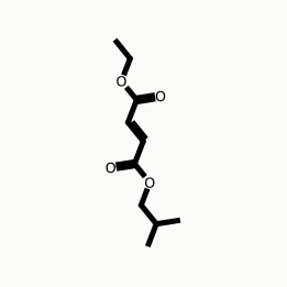 CCOC(=O)C=CC(=O)OCC(C)C